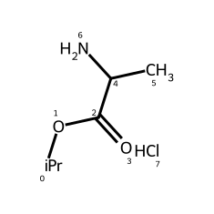 CC(C)OC(=O)C(C)N.Cl